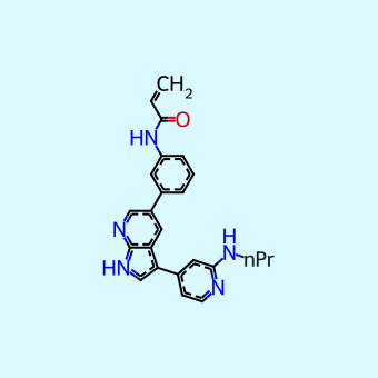 C=CC(=O)Nc1cccc(-c2cnc3[nH]cc(-c4ccnc(NCCC)c4)c3c2)c1